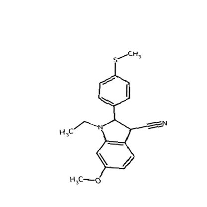 CCN1c2cc(OC)ccc2C(C#N)C1c1ccc(SC)cc1